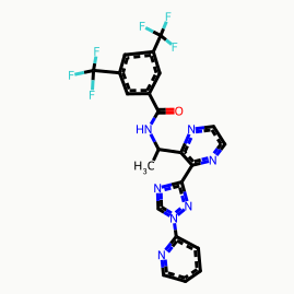 CC(NC(=O)c1cc(C(F)(F)F)cc(C(F)(F)F)c1)c1nccnc1-c1ncn(-c2ccccn2)n1